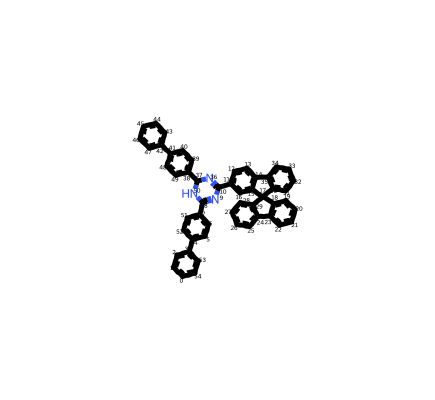 c1ccc(-c2ccc(C3=NC(c4ccc5c(c4)C4(c6ccccc6-c6ccccc64)c4ccccc4-5)=NC(c4ccc(-c5ccccc5)cc4)N3)cc2)cc1